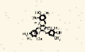 Cc1cc(CN2C(C)N(Cc3cc(C)c(O)c(C(C)(C)C)c3)C(C)N(Cc3cc(C)c(O)c(C(C)(C)C)c3)C2C)cc(C(C)(C)C)c1O